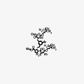 COC(=O)[C@H](Cc1cc(Br)cc(CC[C@@H]2[C@@H](C(=O)N(C)[C@H](C(=O)OCC[Si](C)(C)C)C(C)C)CCN2C(=O)OC(C)(C)C)c1)NC(=O)OCC[Si](C)(C)C